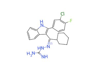 N=C(N)N/N=C(\c1c(-c2ccc(F)c(Cl)c2)[nH]c2ccccc12)C1CCCCC1